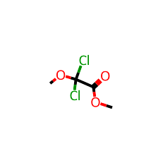 COC(=O)C(Cl)(Cl)OC